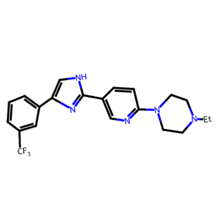 CCN1CCN(c2ccc(-c3nc(-c4cccc(C(F)(F)F)c4)c[nH]3)cn2)CC1